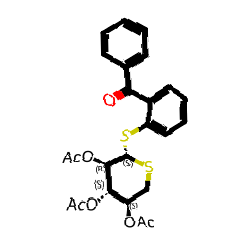 CC(=O)O[C@@H]1[C@@H](OC(C)=O)[C@H](Sc2ccccc2C(=O)c2ccccc2)SC[C@H]1OC(C)=O